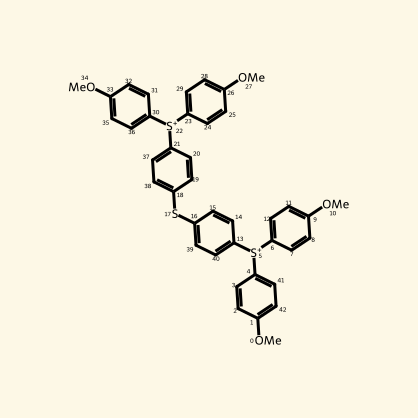 COc1ccc([S+](c2ccc(OC)cc2)c2ccc(Sc3ccc([S+](c4ccc(OC)cc4)c4ccc(OC)cc4)cc3)cc2)cc1